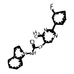 Cc1nc(-c2cccc(F)c2)ncc1OC(=O)Nn1ccc2ccccc21